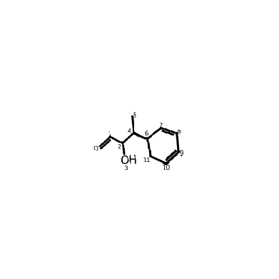 C=CC(O)C(C)C1C=CC=CC1